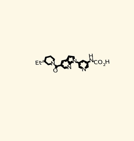 CC[C@@H]1CCCN(C(=O)c2cnc3c(ccn3-c3cncc(NC(=O)O)c3)c2)C1